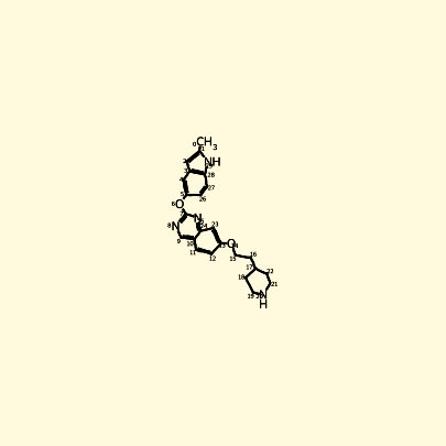 Cc1cc2cc(Oc3ncc4ccc(OCCC5CCNCC5)cc4n3)ccc2[nH]1